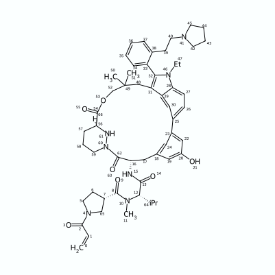 C=CC(=O)N1CC[C@H](C(=O)N(C)[C@H](C(=O)N[C@H]2Cc3cc(O)cc(c3)-c3ccc4c(c3)c(c(-c3ccccc3CCN3CCCC3)n4CC)CC(C)(C)COC(=O)[C@@H]3CCCN(N3)C2=O)C(C)C)C1